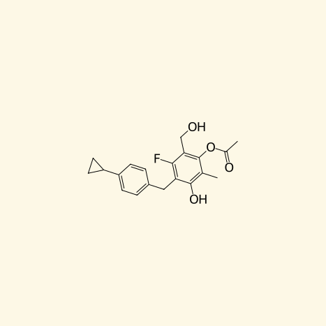 CC(=O)Oc1c(C)c(O)c(Cc2ccc(C3CC3)cc2)c(F)c1CO